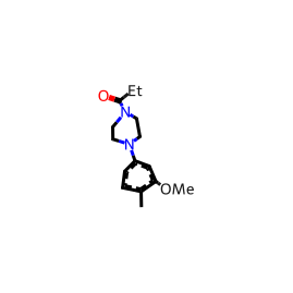 CCC(=O)N1CCN(c2ccc(C)c(OC)c2)CC1